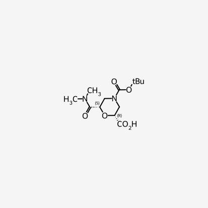 CN(C)C(=O)[C@@H]1CN(C(=O)OC(C)(C)C)C[C@H](C(=O)O)O1